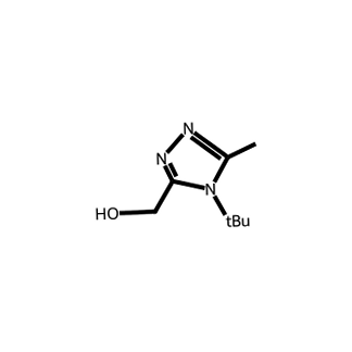 Cc1nnc(CO)n1C(C)(C)C